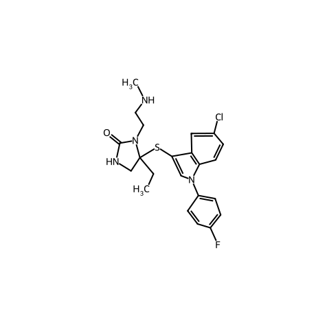 CCC1(Sc2cn(-c3ccc(F)cc3)c3ccc(Cl)cc23)CNC(=O)N1CCNC